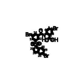 O=C(Nc1ccc(Br)cc1C(=O)O)c1cc(Br)cc(S(=O)(=O)N2CCc3cc(Br)ccc32)c1